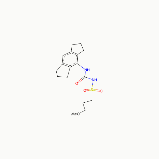 COCCCS(=O)(=O)NC(=O)Nc1c2c(cc3c1CCC3)CCC2